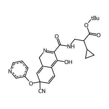 CC(C)(C)OC(=O)C(CNC(=O)C1=NCC2=CC(C#N)(Oc3cccnc3)C=CC2=C1O)C1CC1